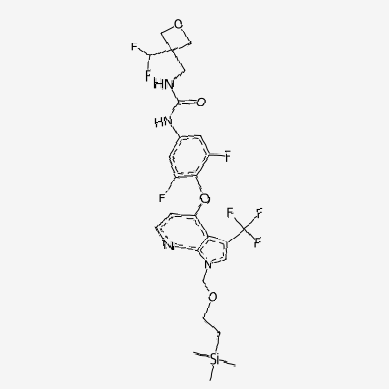 C[Si](C)(C)CCOCn1cc(C(F)(F)F)c2c(Oc3c(F)cc(NC(=O)NCC4(C(F)F)COC4)cc3F)ccnc21